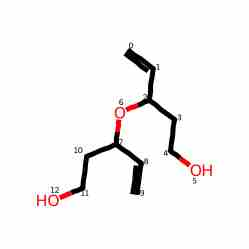 C=CC(CCO)OC(C=C)CCO